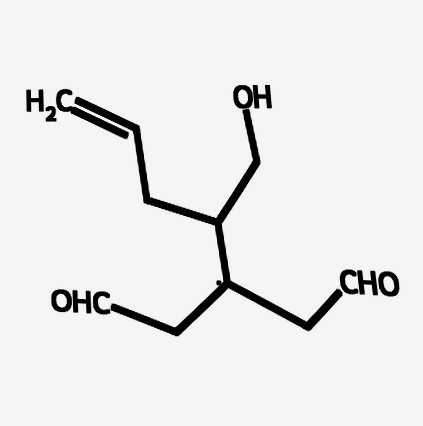 C=CCC(CO)[C](CC=O)CC=O